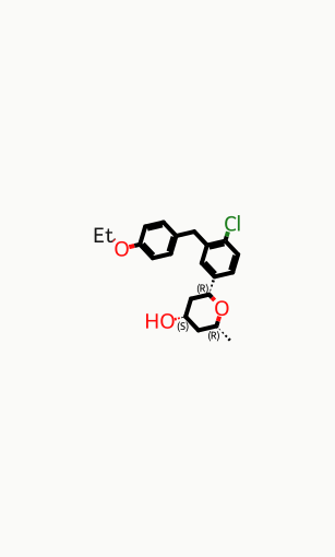 CCOc1ccc(Cc2cc([C@H]3C[C@@H](O)C[C@@H](C)O3)ccc2Cl)cc1